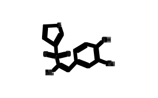 CC(C)(C)c1cc(C=C(C#N)S(=O)(=O)c2ccsc2)ccc1O